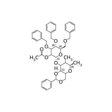 CC(=O)OC1C(OCc2ccccc2)[C@H](OCc2ccccc2)[C@@H](COCc2ccccc2)O[C@@H]1OC1C(C)[C@@H](C)OC2COC(c3ccccc3)O[C@H]21